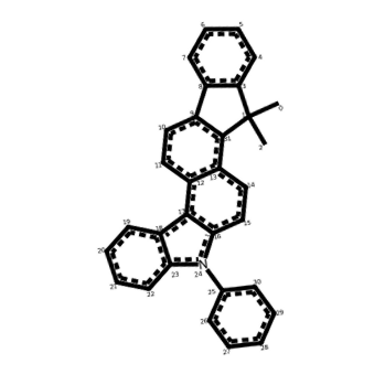 CC1(C)c2ccccc2-c2ccc3c(ccc4c3c3ccccc3n4-c3ccccc3)c21